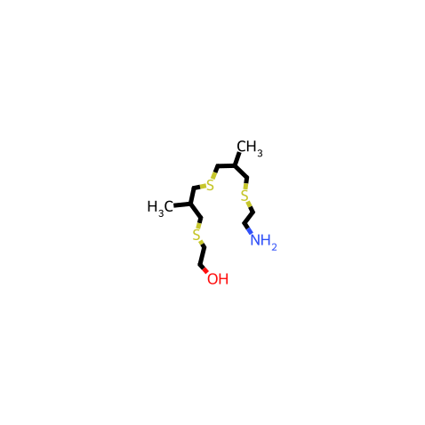 CC(CSCCN)CSCC(C)CSCCO